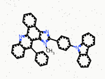 Cn1c(-c2ccc(-n3c4ccccc4c4ccccc43)cc2)nc2c3ccccc3c3nc4ccccc4c(-c4ccccc4)c3c21